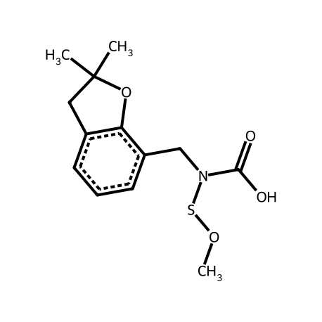 COSN(Cc1cccc2c1OC(C)(C)C2)C(=O)O